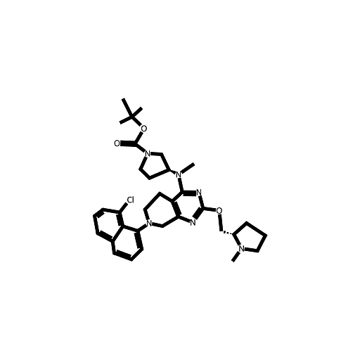 CN1CCC[C@H]1COc1nc2c(c(N(C)[C@H]3CCN(C(=O)OC(C)(C)C)C3)n1)CCN(c1cccc3cccc(Cl)c13)C2